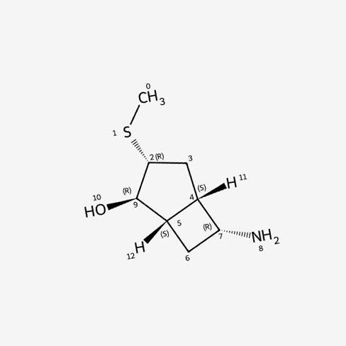 CS[C@@H]1C[C@H]2[C@H](C[C@H]2N)[C@H]1O